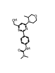 CC1COCCN1c1cc(CO)nc(-c2ccc(NC(=O)N(C)C)cc2)n1